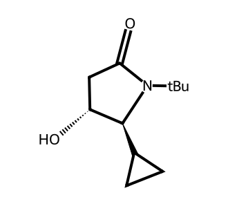 CC(C)(C)N1C(=O)C[C@@H](O)[C@@H]1C1CC1